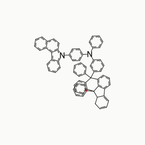 C1=CCC2C(=C1)c1cccc3c1C2(c1ccccc1)c1ccccc1C3(c1ccccc1)c1cccc(N(c2ccccc2)c2ccc(-n3c4ccccc4c4c5ccccc5ccc43)cc2)c1